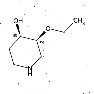 CCO[C@H]1CNCC[C@H]1O